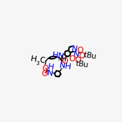 CC1COC(=O)Nc2cccc(c2)CNC(=O)[C@H](Nc2ccc3c(N(C(=O)OC(C)(C)C)C(=O)OC(C)(C)C)nccc3c2)c2ccc1cc2